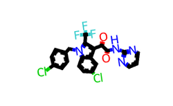 O=C(Nc1ncccn1)C(=O)c1c(C(F)(F)F)n(Cc2ccc(Cl)cc2)c2ccc(Cl)cc12